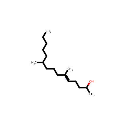 CCCCCC(C)CCC/C(C)=C/CCC(C)O